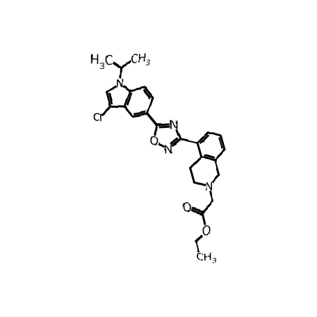 CCOC(=O)CN1CCc2c(cccc2-c2noc(-c3ccc4c(c3)c(Cl)cn4C(C)C)n2)C1